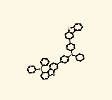 c1ccc(N(c2ccc(-c3ccc4c(c3)sc3cccc(N(c5ccccc5)c5ccccc5)c34)cc2)c2ccc(-c3ccc4oc5ccccc5c4c3)cc2)cc1